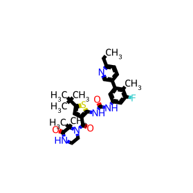 CCc1ccc(-c2cc(NC(=O)Nc3sc(C(C)(C)C)cc3C(=O)N3CCNC(=O)C3(C)C)cc(F)c2C)cn1